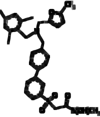 Cc1cc(C)c(CN(Cc2ccc(-c3cccc(S(=O)(=O)CC(=O)N(C)O)c3)cc2)Cc2ccc(C(F)(F)F)o2)c(C)c1